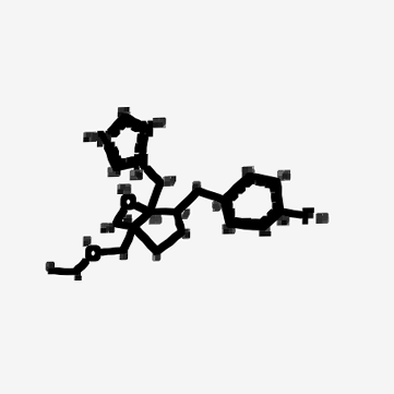 CCOCC12CCC(Cc3ccc(F)cc3)C1(Cn1cncn1)OC2